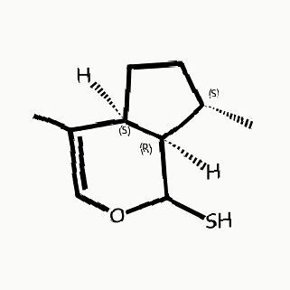 CC1=COC(S)[C@H]2[C@@H]1CC[C@@H]2C